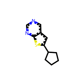 c1ncc2cc(C3CCCC3)sc2n1